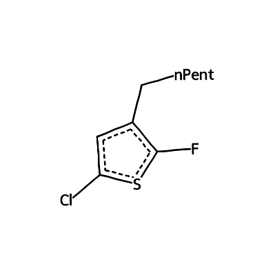 CCCCCCc1cc(Cl)sc1F